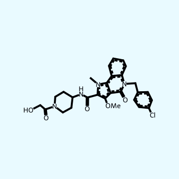 COc1c(C(=O)NC2CCN(C(=O)CO)CC2)n(C)c2c1c(=O)n(Cc1ccc(Cl)cc1)c1ccccc21